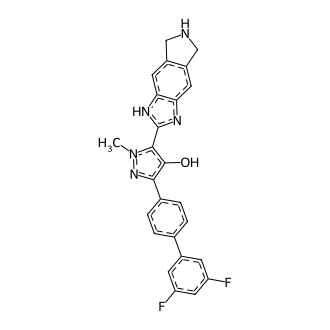 Cn1nc(-c2ccc(-c3cc(F)cc(F)c3)cc2)c(O)c1-c1nc2cc3c(cc2[nH]1)CNC3